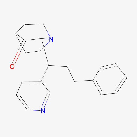 O=C1C2CCN(CC2)C1C(CCc1ccccc1)c1cccnc1